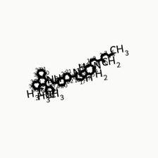 C=C(/C=C\C=C/C)C(N)/C=C\C1=C[C@@H]2C3CC(C=CC(c4ccc5cc(CNC6c7ccccc7-c7ccccc7C6C(/C=C\C)=C(C)C)ccc5c4)=N3)[C@@H]2CC=C1